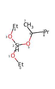 CCO[SiH](OCC)OC(C)C(C)C